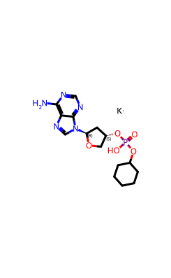 Nc1ncnc2c1ncn2[C@H]1C[C@H](OP(=O)(O)OC2CCCCC2)CO1.[K]